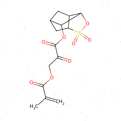 C=C(C)C(=O)OCC(=O)C(=O)OC1C2CC3C1OS(=O)(=O)C3C2